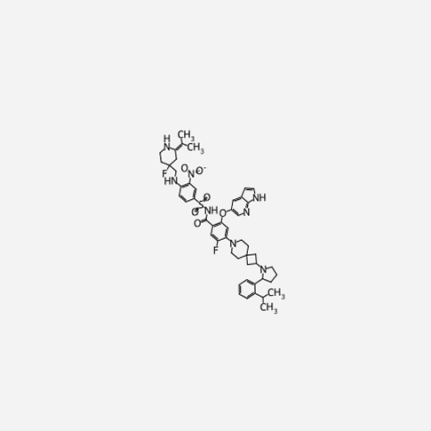 CC(C)=C1CC(F)(CNc2ccc(S(=O)(=O)NC(=O)c3cc(F)c(N4CCC5(CC4)CC(N4CCCC4c4ccccc4C(C)C)C5)cc3Oc3cnc4[nH]ccc4c3)cc2[N+](=O)[O-])CCN1